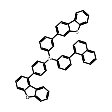 c1cc(-c2ccc3c(c2)sc2ccccc23)cc(N(c2ccc(-c3cccc4oc5ccccc5c34)cc2)c2cccc(-c3cccc4ccccc34)c2)c1